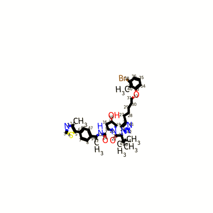 Cc1ncsc1-c1ccc(C(C)NC(=O)[C@@H]2C[C@@H](O)CN2C(=O)C(n2cc(CCCCCOc3cccc(Br)c3C)nn2)C(C)(C)C)cc1